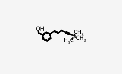 C[Si](C)(C)C#CC/C=C/c1cccc(CO)c1